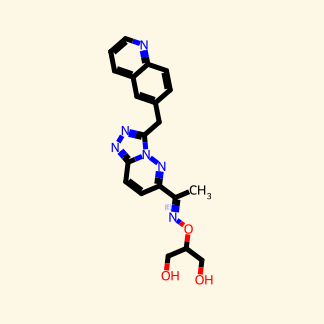 C/C(=N\OC(CO)CO)c1ccc2nnc(Cc3ccc4ncccc4c3)n2n1